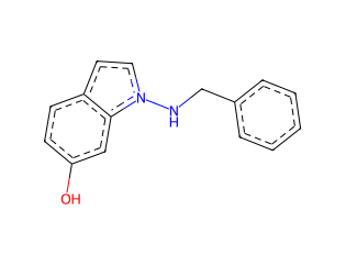 Oc1ccc2ccn(NCc3ccccc3)c2c1